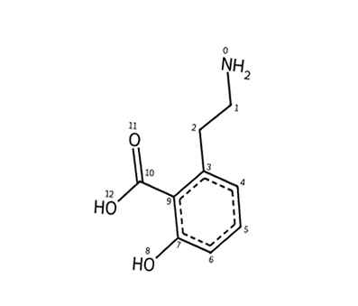 NCCc1cccc(O)c1C(=O)O